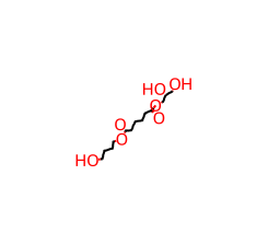 O=C(CCCCC(=O)OCC(O)CO)OCCCCO